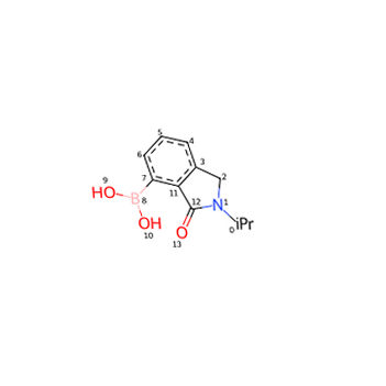 CC(C)N1Cc2cccc(B(O)O)c2C1=O